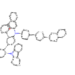 c1ccc(-c2cc(-c3ccccc3-n3c4ccccc4c4ccccc43)ccc2N(c2ccc(-c3ccc(-c4ccc5ccccc5c4)cc3)cc2)c2ccc3ccccc3c2)cc1